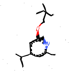 Cc1cc(C(C)C)cc(OCC(C)(C)C)n1